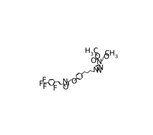 CCOC(=O)N(CCOC)c1cn(CCCCc2ccc(OCc3coc(C=Cc4ccc(C(F)(F)F)cc4F)n3)cc2)nn1